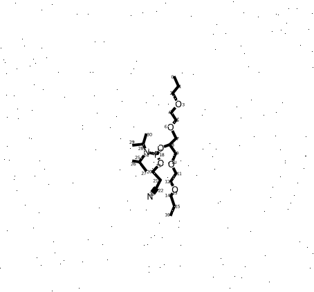 CCCOCCOCC(COCCOCCC)OP(OCCC#N)N(C(C)C)C(C)C